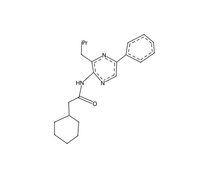 CC(C)Cc1nc(-c2ccccc2)cnc1NC(=O)CC1CCCCC1